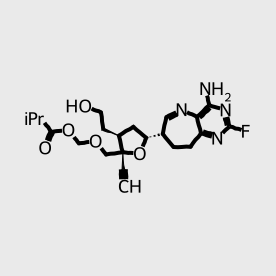 C#C[C@]1(COCOC(=O)C(C)C)O[C@@H](C2C=Nc3c(N)nc(F)nc3CC2)C[C@@H]1CCO